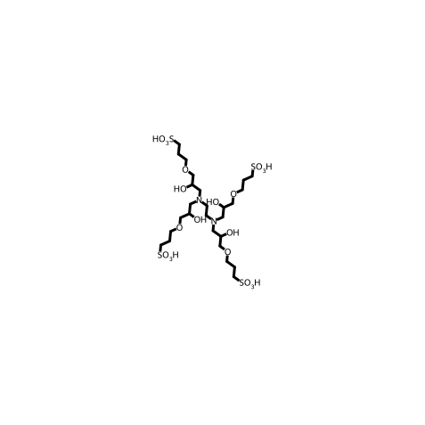 O=S(=O)(O)CCCOCC(O)CN(CCN(CC(O)COCCCS(=O)(=O)O)CC(O)COCCCS(=O)(=O)O)CC(O)COCCCS(=O)(=O)O